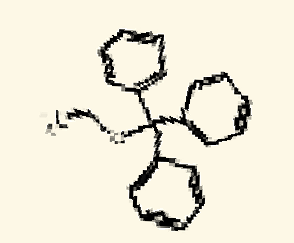 FC(F)(F)COC(c1ccccc1)(c1ccccc1)c1ccccc1